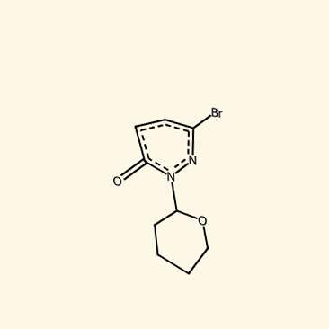 O=c1ccc(Br)nn1C1CCCCO1